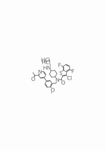 CNC1CCC(N(Cc2cc(-c3ccnc(C(C)=O)c3)ccc2OC)C(=O)c2sc3c(F)ccc(F)c3c2Cl)CC1.Cl.Cl